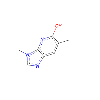 Cc1cc2n[c]n(C)c2nc1O